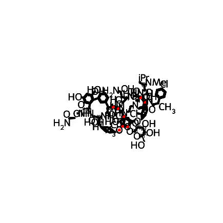 CN[C@H](CC(C)C)C(=O)N[C@H]1C(=O)N[C@@H](CC(N)=O)C(=O)N[C@H]2C(=O)N[C@H]3C(=O)N[C@H](C(=O)N[C@@H](C(=O)NOCC(N)=O)c4cc(O)cc(O)c4-c4cc3ccc4O)[C@H](O)c3ccc(c(Cl)c3)Oc3cc2cc(c3O[C@@H]2O[C@H](CO)[C@@H](O)[C@H](O)[C@H]2O[C@H]2C[C@](C)(NCCn3ccc(NC(=O)C(C)c4ccc(Cl)cc4)nc3=O)[C@H](O)[C@H](C)O2)Oc2ccc(cc2Cl)[C@H]1O